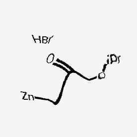 Br.CC(C)OC(=O)[CH2][Zn]